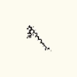 CCCCCCCCCCCCc1ccsc1-c1cccs1